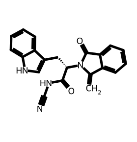 C=C1c2ccccc2C(=O)N1[C@@H](Cc1c[nH]c2ccccc12)C(=O)NC#N